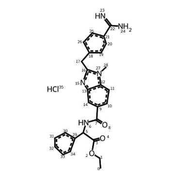 CCOC(=O)C(NC(=O)c1ccc2c(c1)nc(Cc1ccc(C(=N)N)cc1)n2C)c1ccccc1.Cl